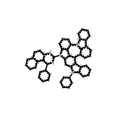 c1ccc(-c2nc(-n3c4cc5c(c6ccccc6n5-c5ccccc5)c5c6cccc7c8ccccc8n(c8cccc3c8c54)c76)nc3ccc4ccccc4c23)cc1